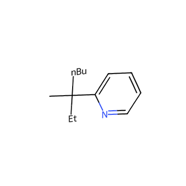 CCCCC(C)(CC)c1ccccn1